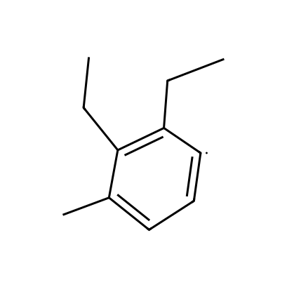 CCc1[c]ccc(C)c1CC